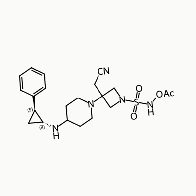 CC(=O)ONS(=O)(=O)N1CC(CC#N)(N2CCC(N[C@@H]3C[C@H]3c3ccccc3)CC2)C1